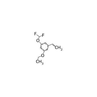 C=Cc1cc(OCC)cc(OC(F)F)c1